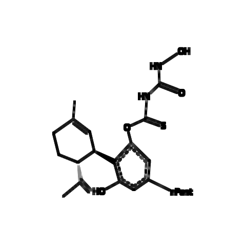 C=C(C)[C@@H]1CCC(C)=C[C@H]1c1c(O)cc(CCCCC)cc1OC(=S)NC(=O)NO